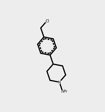 CCCN1CCC(c2ccc(CCl)cc2)CC1